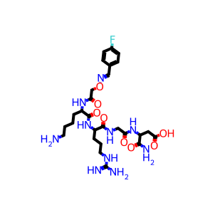 N=C(N)NCCCC(NC(=O)C(CCCCN)NC(=O)CO/N=C/c1ccc(F)cc1)C(=O)NCC(=O)NC(CC(=O)O)C(N)=O